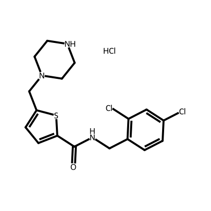 Cl.O=C(NCc1ccc(Cl)cc1Cl)c1ccc(CN2CCNCC2)s1